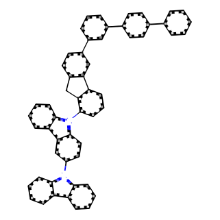 c1ccc(-c2ccc(-c3cccc(-c4ccc5c(c4)-c4cccc(-n6c7ccccc7c7cc(-n8c9ccccc9c9ccccc98)ccc76)c4C5)c3)cc2)cc1